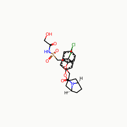 O=C(CO)NS(=O)(=O)Cc1cc(Cl)ccc1OCC(=O)N1[C@@H]2CC[C@H]1CC(Oc1ccc(F)cc1)C2